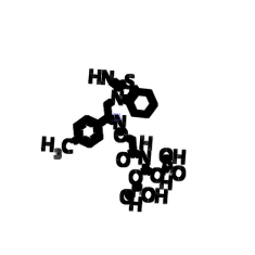 Cc1ccc(/C(Cn2c3c(sc2=N)CCCC3)=N\OCC(=O)NC(O[PH](=O)O)O[PH](=O)O)cc1